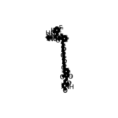 O=C1CCC(CCC2C(=O)c3ccc(OCCOCCOCCOCCCc4cccc5c4C(=O)N(C(C(=O)Nc4nccs4)c4cc(F)ccc4O)C5)cc3C2=O)C(=O)N1